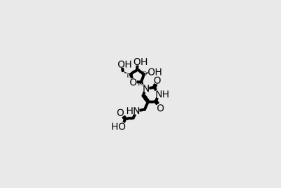 O=C(O)CNCc1cn([C@@H]2O[C@H](CO)C(O)[C@@H]2O)c(=O)[nH]c1=O